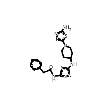 Nc1nnc(N2CCC(Nc3nnc(NC(=O)Cc4ccccc4)s3)CC2)s1